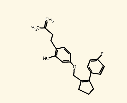 C=C(C)CCc1ccc(OCC2=C(c3ccc(F)cc3)CCC2)cc1C#N